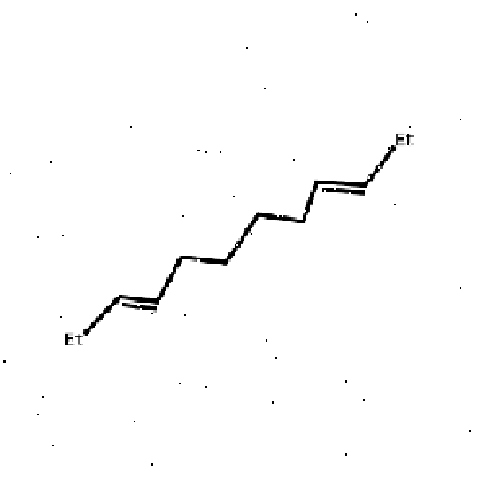 CCC=CCCCCC=CCC